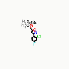 CC(C)(C)[Si](C)(C)OCc1cc(-c2ccc(F)cc2Cl)no1